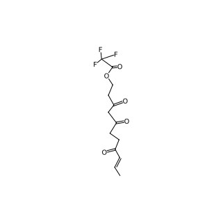 CC=CC(=O)CCC(=O)CC(=O)CCOC(=O)C(F)(F)F